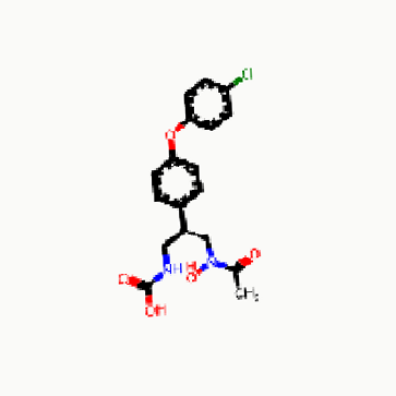 CC(=O)N(O)C[C@@H](CNC(=O)O)c1ccc(Oc2ccc(Cl)cc2)cc1